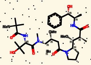 CC[C@H](C)[C@@H]([C@@H](CC(=O)N1CCC[C@H]1[C@H](OC)[C@@H](C)C(=O)N[C@H](C)[C@@H](O)c1ccccc1)OC)N(C)C(=O)[C@@H](NC(=O)C(C)(C)NC)C(C)(C)O